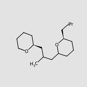 CC(C)C[C@H]1CCCC(CC(C)C[C@@H]2CCCCO2)O1